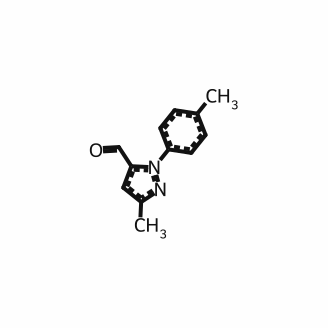 Cc1ccc(-n2nc(C)cc2C=O)cc1